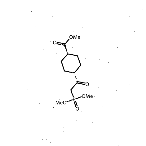 COC(=O)[C@H]1CC[C@H](C(=O)CP(=O)(OC)OC)CC1